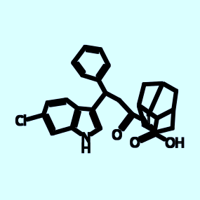 O=C(O)C1C2CC3CC1CC(C2)N3C(=O)CC(c1ccccc1)c1c[nH]c2cc(Cl)ccc12